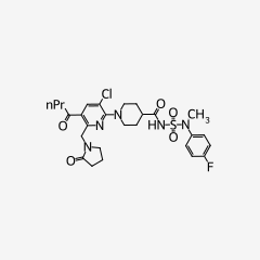 CCCC(=O)c1cc(Cl)c(N2CCC(C(=O)NS(=O)(=O)N(C)c3ccc(F)cc3)CC2)nc1CN1CCCC1=O